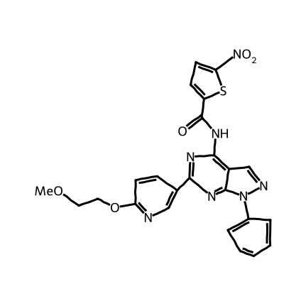 COCCOc1ccc(-c2nc(NC(=O)c3ccc([N+](=O)[O-])s3)c3cnn(-c4ccccc4)c3n2)cn1